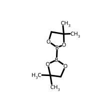 CC1(C)COB(B2OCC(C)(C)O2)O1